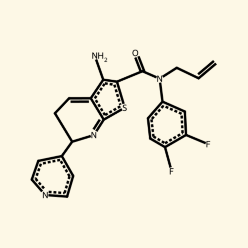 C=CCN(C(=O)c1sc2c(c1N)=CCC(c1ccncc1)N=2)c1ccc(F)c(F)c1